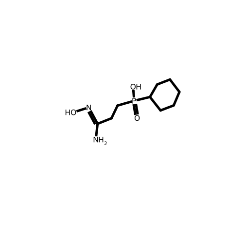 NC(CCP(=O)(O)C1CCCCC1)=NO